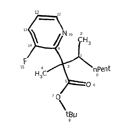 CCCCCC(C)C(C)(C(=O)OC(C)(C)C)c1ncccc1F